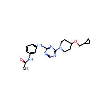 CC(=O)Nc1cccc(Nc2ncnc(N3CCC(OCC4CC4)CC3)n2)c1